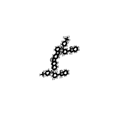 CC(C)(C)c1ccc(N(c2cccc(-c3cc4ccccc4s3)c2)c2ccc3cc4c(cc3c2)oc2cc3c(cc24)oc2c(N(c4ccc(C(C)(C)C)cc4)c4cccc(-c5cc6ccccc6s5)c4)cccc23)cc1